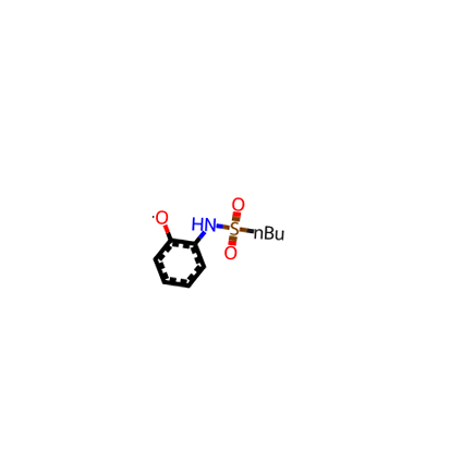 CCCCS(=O)(=O)Nc1ccccc1[O]